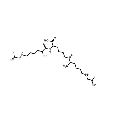 N=C(F)CNCCCCC(N)C(=O)NCCCC(NC(=O)C(N)CCCCNCC(=N)F)C(=O)O